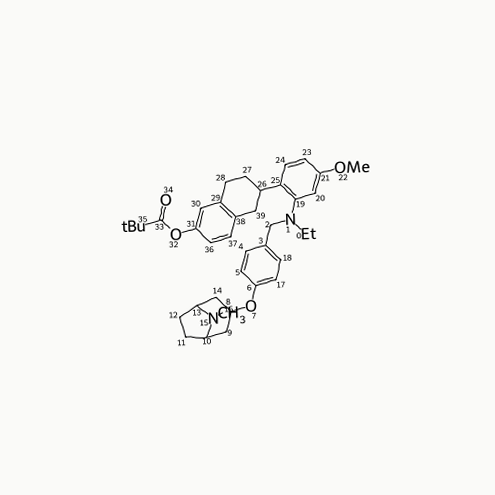 CCN(Cc1ccc(OC2CC3CCC(C2)N3C)cc1)c1cc(OC)ccc1C1CCc2cc(OC(=O)C(C)(C)C)ccc2C1